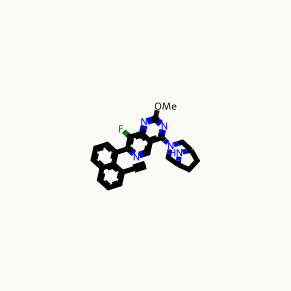 C#Cc1cccc2cccc(-c3ncc4c(N5CC6CCC(C5)N6)nc(OC)nc4c3F)c12